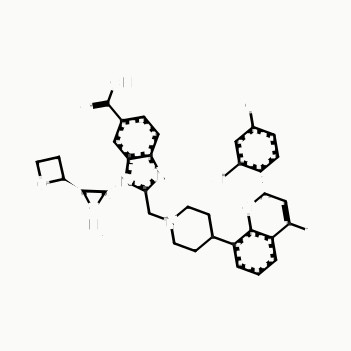 O=C(O)c1ccc2nc(CN3CCC(c4cccc5c4O[C@H](c4ccc(Cl)cc4Cl)C=C5F)CC3)n([C@@H]3[SiH2][C@H]3C3CCO3)c2c1